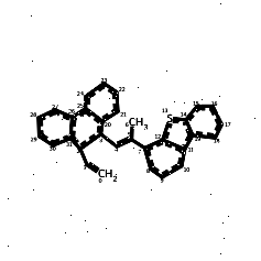 C=Cc1c(/C=C(\C)c2cccc3c2sc2ccccc23)c2ccccc2c2ccccc12